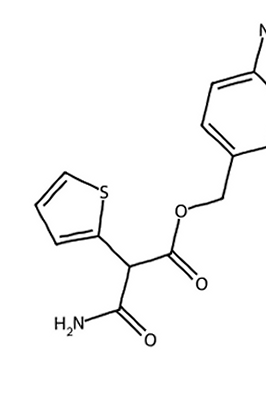 NC(=O)C(C(=O)OCc1ccc([N+](=O)[O-])cc1)c1cccs1